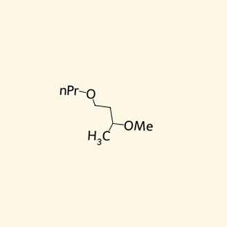 CCCOCCC(C)OC